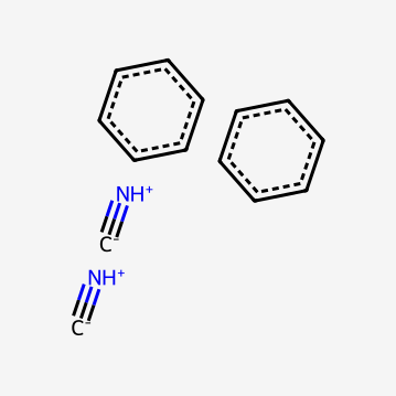 [C-]#[NH+].[C-]#[NH+].c1ccccc1.c1ccccc1